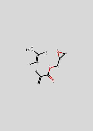 C=C(C)C(=O)OCC1CO1.CC=C(CC)C(=O)O